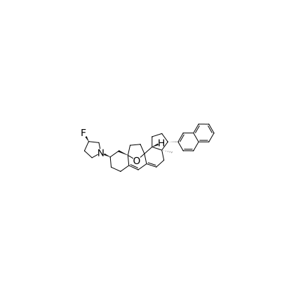 C[C@]12CC=C3C=C4CC[C@@H](N5CC[C@@H](F)C5)C[C@]45CCC3(O5)[C@@H]1CC[C@@H]2c1ccc2ccccc2c1